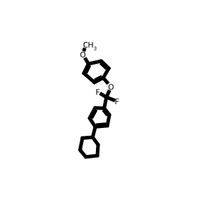 COc1ccc(OC(F)(F)c2ccc(C3CCCCC3)cc2)cc1